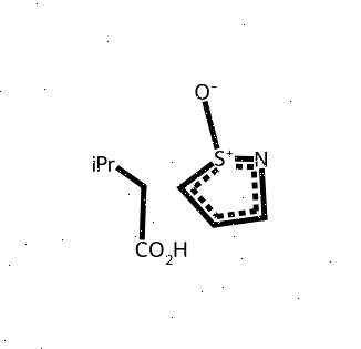 CC(C)CC(=O)O.[O-][s+]1cccn1